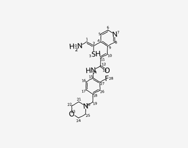 N/C=C(\S)c1ccncc1/C=C/C(=O)Nc1ccc(CN2CCOCC2)cc1F